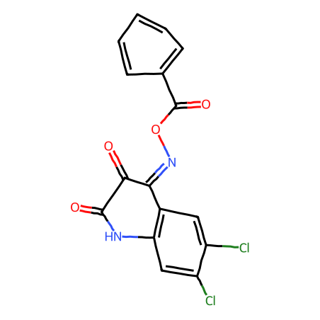 O=C1Nc2cc(Cl)c(Cl)cc2C(=NOC(=O)c2ccccc2)C1=O